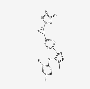 Cn1cnc(-c2ccc(C3C[C@@H]3c3n[nH]c(=O)o3)cc2)c1Sc1ccc(F)cc1F